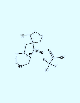 O=C(O)C(F)(F)F.O=C(O)C1(CC2CCNCC2)CCCC1S